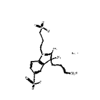 CCOC(=O)CCCC1(C)C(C)=[N+](CCCS(=O)(=O)[O-])c2ccc(S(=O)(=O)[O-])cc21.[Na+]